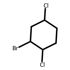 ClC1CCC(Cl)C(Br)C1